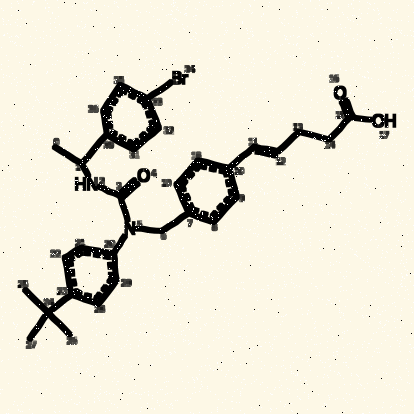 CC(NC(=O)N(Cc1ccc(C=CCCC(=O)O)cc1)c1ccc(C(C)(C)C)cc1)c1ccc(Br)cc1